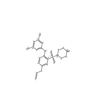 O=CCc1ccc(Oc2cc(Cl)cc(Cl)c2)c(S(=O)(=O)N2CCNCC2)c1